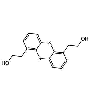 OCCc1cccc2c1Sc1cccc(CCO)c1S2